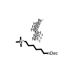 Br.Br.Br.CCCCCCCCCCCCCCCC[N+](C)(C)C.N.N.N.[Br-]